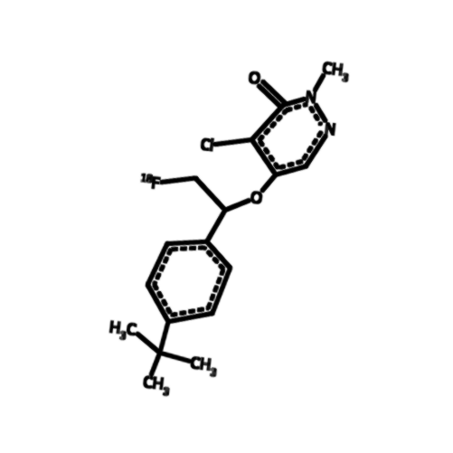 Cn1ncc(OC(C[18F])c2ccc(C(C)(C)C)cc2)c(Cl)c1=O